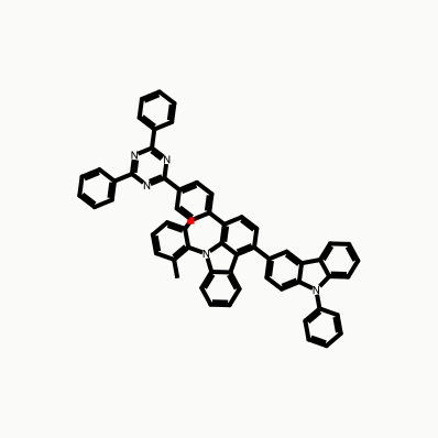 Cc1cccc(C)c1-n1c2ccccc2c2c(-c3ccc4c(c3)c3ccccc3n4-c3ccccc3)ccc(-c3ccc(-c4nc(-c5ccccc5)nc(-c5ccccc5)n4)cc3)c21